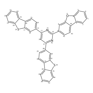 c1ccc2c(c1)oc1cc(-c3nc(-c4ccc5c(c4)sc4ccccc45)cc(-c4ccc5c(c4)sc4ccccc45)n3)ccc12